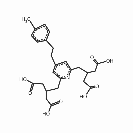 Cc1ccc(CCc2cc(CC(CC(=O)O)CC(=O)O)nc(CC(CC(=O)O)CC(=O)O)c2)cc1